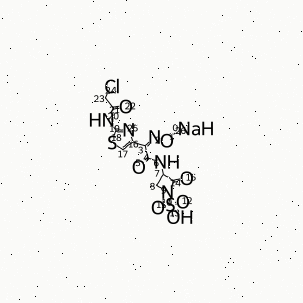 CON=C(C(=O)NC1CN(S(=O)(=O)O)C1=O)c1csc(NC(=O)CCl)n1.[NaH]